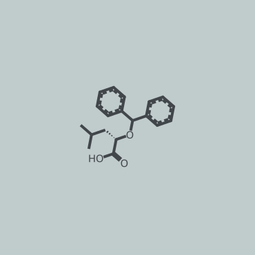 CC(C)C[C@H](OC(c1ccccc1)c1ccccc1)C(=O)O